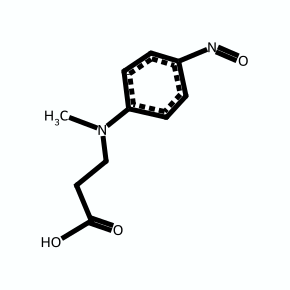 CN(CCC(=O)O)c1ccc(N=O)cc1